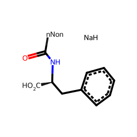 CCCCCCCCCC(=O)N[C@@H](Cc1ccccc1)C(=O)O.[NaH]